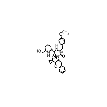 COc1ccc(C[C@H](NC(=O)[C@@H]2CCCC(CO)N2)C(=O)N[C@@H](Cc2ccccc2)C(=O)C2(C)CC2)cc1